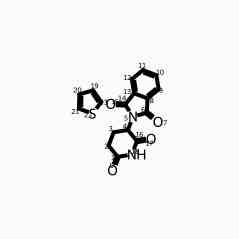 O=C1CCC(N2C(=O)c3ccccc3C2=O)C(=O)N1.c1ccsc1